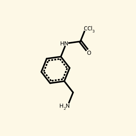 NCc1cccc(NC(=O)C(Cl)(Cl)Cl)c1